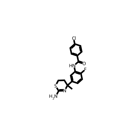 CC1(c2ccc(F)c(NC(=O)c3ccc(Cl)cc3)c2)CCSC(N)=N1